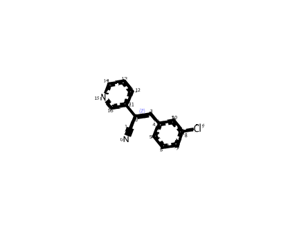 N#C/C(=C\c1cccc(Cl)c1)c1cccnc1